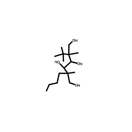 CCCCC(C)(CO)C(O)C(O)C(C)(CO)C(C)(C)C